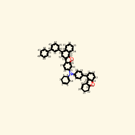 C1=CCCC(N(c2ccc(-c3cccc4oc5c(c34)C=CCC5)cc2)c2ccc3c(c2)oc2c4ccccc4c(-c4cccc(-c5ccccc5)c4)cc32)=C1